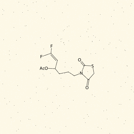 CC(=O)OC(C=C(F)F)CCCN1C(=O)CSC1=O